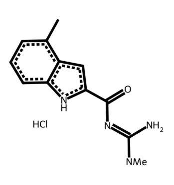 CNC(N)=NC(=O)c1cc2c(C)cccc2[nH]1.Cl